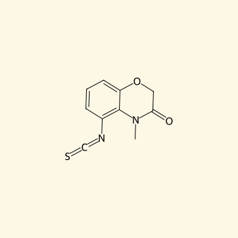 CN1C(=O)COc2cccc(N=C=S)c21